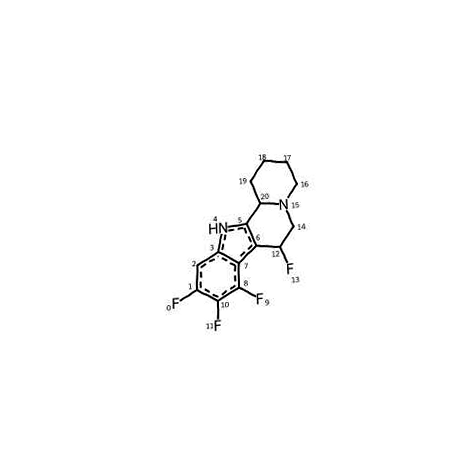 Fc1cc2[nH]c3c(c2c(F)c1F)C(F)CN1CCCCC31